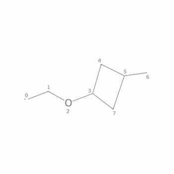 [CH2]COC1CC(C)C1